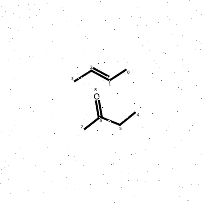 CC=CC.CCC(C)=O